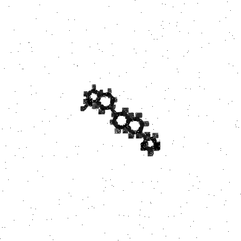 Cn1ccc2ccc(-c3ccc4cc(-c5cncs5)ccc4c3)cc21